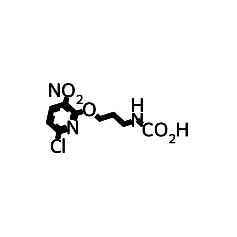 O=C(O)NCCCOc1nc(Cl)ccc1[N+](=O)[O-]